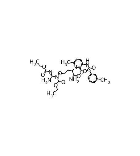 CCOC(=O)N=C(N)N(OCCC(C(N)=O)n1c(C)ccc(NS(=O)(=O)c2cccc(C)c2)c1=O)C(=O)OCC